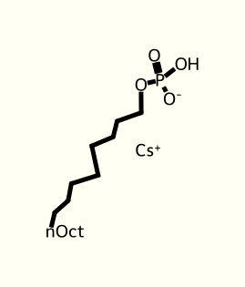 CCCCCCCCCCCCCCCCOP(=O)([O-])O.[Cs+]